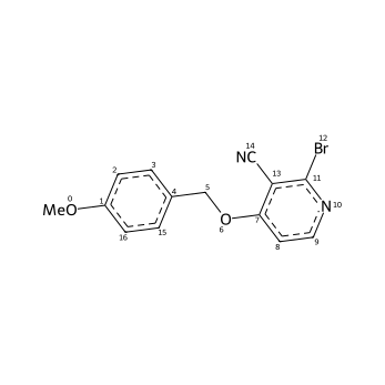 COc1ccc(COc2ccnc(Br)c2C#N)cc1